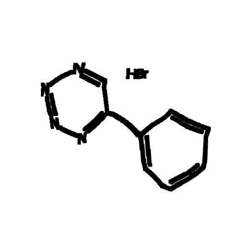 Br.c1ccc(-c2cnnnn2)cc1